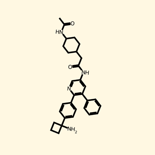 CC(=O)NC1CCC(CC(=O)Nc2cnc(-c3ccc(C4(N)CCC4)cc3)c(-c3ccccc3)c2)CC1